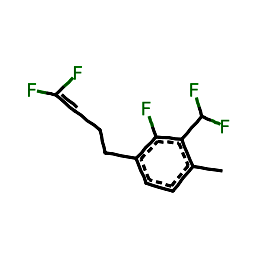 Cc1ccc(CCC=C(F)F)c(F)c1C(F)F